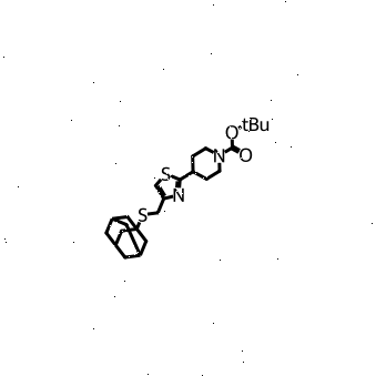 CC(C)(C)OC(=O)N1CCC(c2nc(CSC34CC5CC(CC(C5)C3)C4)cs2)CC1